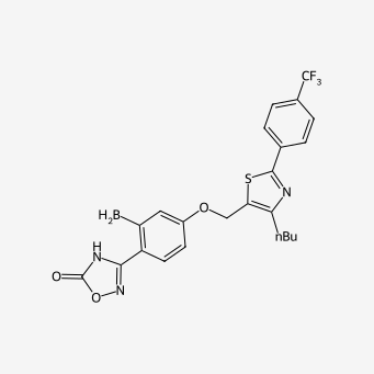 Bc1cc(OCc2sc(-c3ccc(C(F)(F)F)cc3)nc2CCCC)ccc1-c1noc(=O)[nH]1